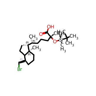 C[C@H](CCC[C@@](C)(O[Si](C)(C)C(C)(C)C)C(=O)O)[C@H]1CCC2/C(=C/Br)CCC[C@@]21C